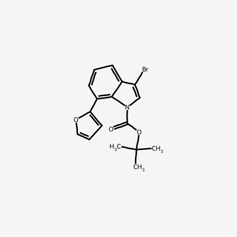 CC(C)(C)OC(=O)n1cc(Br)c2cccc(-c3ccco3)c21